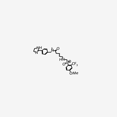 COc1ccc(S(=O)(=O)CNCCCCC(=O)N(C)Cc2ccc(C3=NCCN3)cc2)c(C(F)(F)F)c1